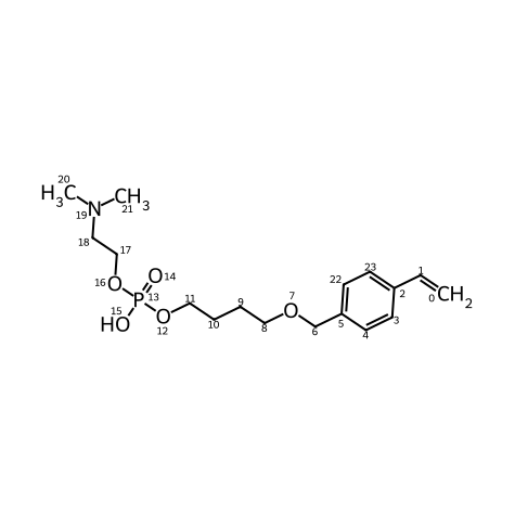 C=Cc1ccc(COCCCCOP(=O)(O)OCCN(C)C)cc1